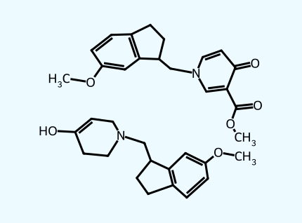 COC(=O)c1cn(CC2CCc3ccc(OC)cc32)ccc1=O.COc1ccc2c(c1)C(CN1CC=C(O)CC1)CC2